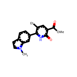 CCc1cc(C(=O)OC)c(=O)[nH]c1-c1ccc2ccn(C)c2c1